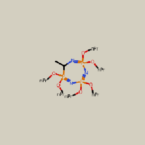 CCCOP1(OCCC)=NC(C)P(OCCC)(OCCC)=NP(OCCC)(OCCC)=N1